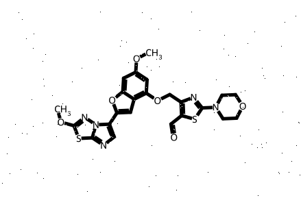 COc1cc(OCc2nc(N3CCOCC3)sc2C=O)c2cc(-c3cnc4sc(OC)nn34)oc2c1